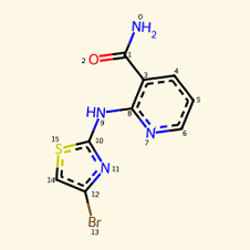 NC(=O)c1cccnc1Nc1nc(Br)cs1